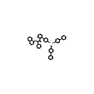 c1ccc(-c2ccc(-c3nc(-c4ccc(-c5ccccc5)cc4)nc(-c4ccc(-c5cccc6nc(-c7cccc8ccccc78)c7c8ccccc8oc7c56)cc4)n3)cc2)cc1